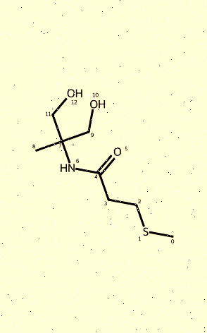 CSCCC(=O)NC(C)(CO)CO